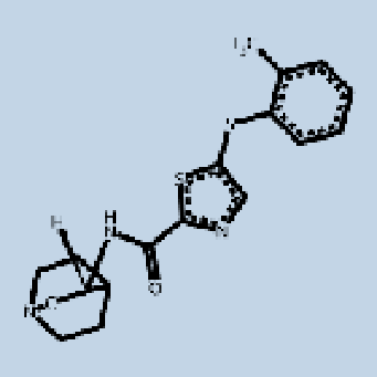 Cc1ccccc1Sc1cnc(C(=O)N[C@H]2CN3CCC2CC3)s1